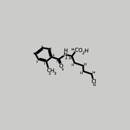 Cc1ccccc1C(=O)NC(CCCCCl)C(=O)O